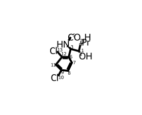 CC(C)C(O)C(NC(=O)O)c1ccc(Cl)cc1Cl